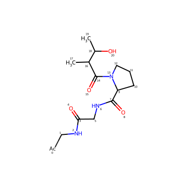 CC(=O)CNC(=O)CNC(=O)C1CCCN1C(=O)C(C)C(C)O